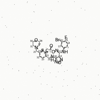 O=C(ON=C(Nc1ccc(F)c(Br)c1)c1nonc1NCc1ccc(CN2CCOCC2)cc1)C(F)(F)F